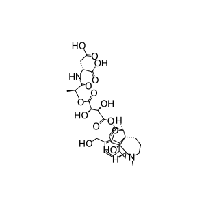 C[C@H](OC(=O)[C@H](O)[C@@H](O)C(=O)OC1=CC[C@@]2(O)[C@H]3Cc4ccc(CO)c5c4[C@@]2(CCCN3C)[C@H]1O5)C(=O)N[C@H](CC(=O)O)C(=O)O